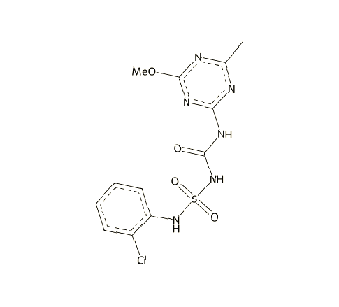 COc1nc(C)nc(NC(=O)NS(=O)(=O)Nc2ccccc2Cl)n1